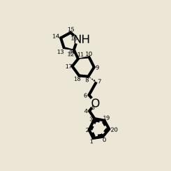 c1ccc(COCC[C@H]2CC[C@H]([C@H]3CCCN3)CC2)cc1